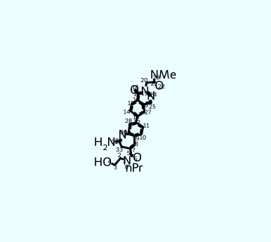 CCCN(CCO)C(=O)C1=Cc2ccc(-c3ccc4c(=O)n(CC(=O)NC)ncc4c3)cc2N=C(N)C1